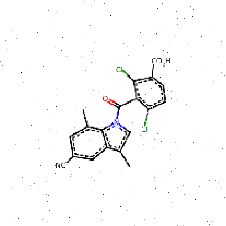 Cc1cn(C(=O)c2c(Cl)ccc(C(=O)O)c2Cl)c2c(C)cc(C#N)cc12